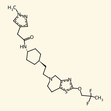 Cn1cc(CC(=O)N[C@H]2CC[C@H](CCN3CCc4sc(OCC(C)(F)F)nc4C3)CC2)cn1